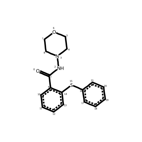 O=C(NN1CCOCC1)c1ccccc1Sc1ccccc1